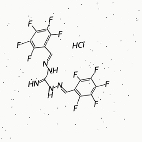 Cl.N=C(NN=Cc1c(F)c(F)c(F)c(F)c1F)NN=Cc1c(F)c(F)c(F)c(F)c1F